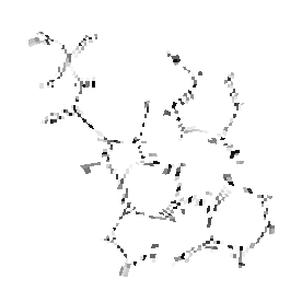 CS(=O)(=O)NC(=O)c1cc2c3c(c(-c4ccc[nH]c4=O)cc2n1Cc1cc(F)ccc1F)OCO3